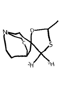 [2H]C1([2H])SC(C)OC12CN1CCC2CC1